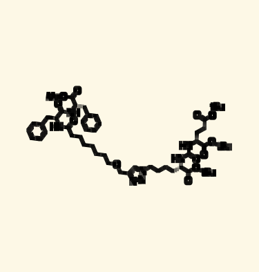 COC(=O)[C@H](Cc1ccccc1)NC(=O)[C@H](Cc1ccccc1)NC(=O)CCCCCCCOCc1cn(CCCC[C@H](NC(=O)N[C@@H](CCC(=O)OC(C)(C)C)C(=O)OC(C)(C)C)C(=O)OC(C)(C)C)nn1